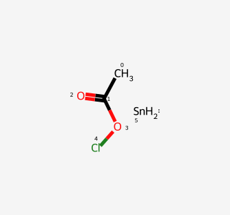 CC(=O)OCl.[SnH2]